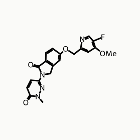 COc1cc(COc2ccc3c(c2)CN(c2ccc(=O)n(C)n2)C3=O)ncc1F